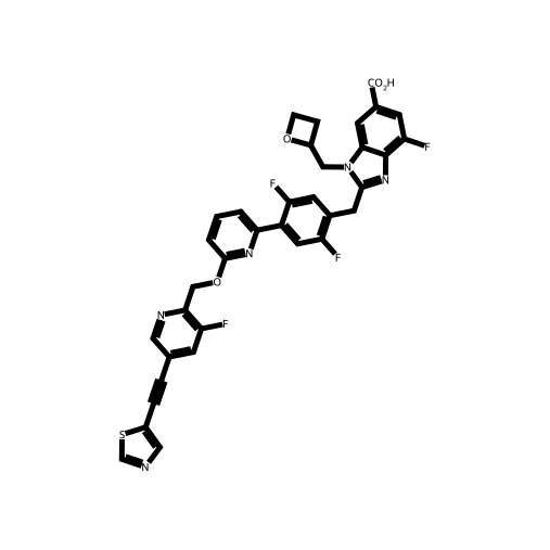 O=C(O)c1cc(F)c2nc(Cc3cc(F)c(-c4cccc(OCc5ncc(C#Cc6cncs6)cc5F)n4)cc3F)n(CC3CCO3)c2c1